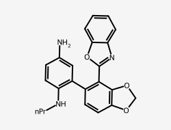 CCCNc1ccc(N)cc1-c1ccc2c(c1-c1nc3ccccc3o1)OCO2